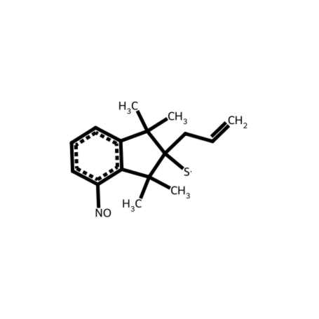 C=CCC1([S])C(C)(C)c2cccc(N=O)c2C1(C)C